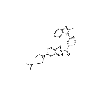 Cc1nc2ccccc2n1-c1cc(C(=O)c2nc3ccc(N4CCC(N(C)C)CC4)cc3[nH]2)ccn1